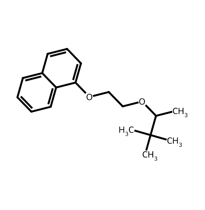 CC(OCCOc1cccc2ccccc12)C(C)(C)C